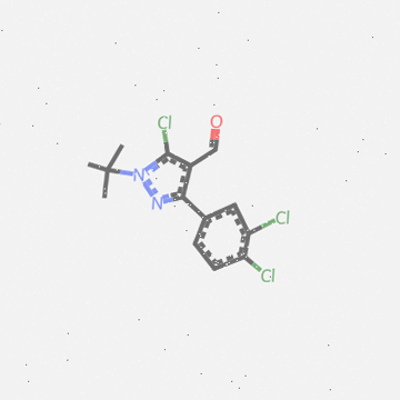 CC(C)(C)n1nc(-c2ccc(Cl)c(Cl)c2)c(C=O)c1Cl